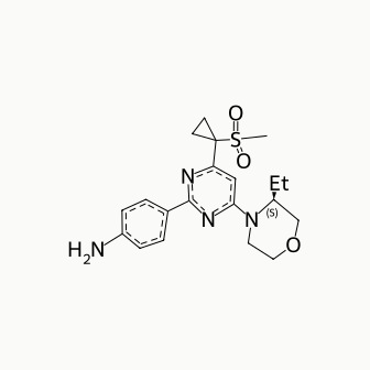 CC[C@H]1COCCN1c1cc(C2(S(C)(=O)=O)CC2)nc(-c2ccc(N)cc2)n1